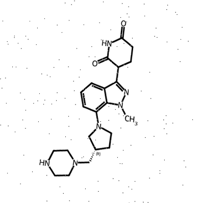 Cn1nc(C2CCC(=O)NC2=O)c2cccc(N3CC[C@H](CN4CCNCC4)C3)c21